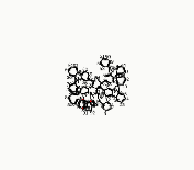 c1ccc(-c2nc(-c3ccccc3)nc(-c3c(-c4ccc5c6ccccc6n(-c6ccccc6)c5c4)c(-c4ccc5c6ccccc6n(-c6ccccc6)c5c4)nc(-c4ccc5c6ccccc6n(-c6ccccc6)c5c4)c3-c3ccc4c5ccccc5n(-c5ccccc5)c4c3)n2)cc1